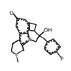 CN1CCc2c(n(CC(O)(c3ccc(F)cc3)C3CCC3)c3ccc(Cl)cc23)C1